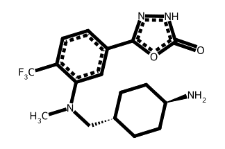 CN(C[C@H]1CC[C@H](N)CC1)c1cc(-c2n[nH]c(=O)o2)ccc1C(F)(F)F